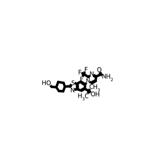 CC(C)(O)c1cc2nc(C3CCC(CO)CC3)sc2cc1N1C=CC(C(N)=O)=NC1C(F)(F)F